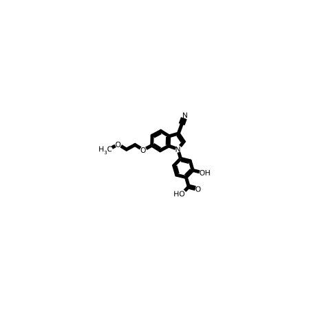 COCCOc1ccc2c(C#N)cn(-c3ccc(C(=O)O)c(O)c3)c2c1